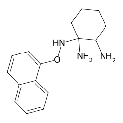 NC1CCCCC1(N)NOc1cccc2ccccc12